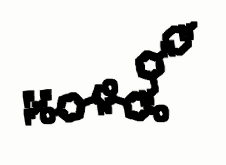 CN1CCN(c2cccc(Cn3cc(-c4nc(-c5ccc(OC(F)(F)F)cc5)co4)ccc3=O)c2)CC1